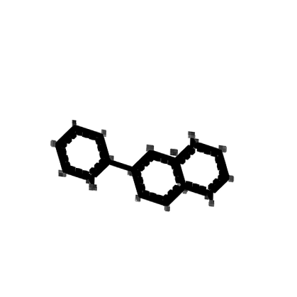 c1ccc(-c2ccc3nccnc3c2)nc1